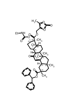 CCNC(=O)O[C@H]1CC[C@@]2(C)[C@@H](CC[C@]3(C)[C@@H]2C(=O)C=C2[C@@H]4C[C@@](C)(C(=O)OC(c5ccccc5)c5ccccc5)CC[C@]4(C)CC[C@]23C)[C@]1(C)C(=O)OCc1oc(=O)oc1C